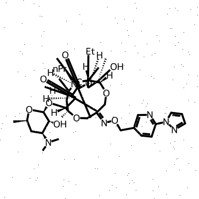 CCCN1C[C@H](C)[C@H]2OC/C(=N\OCc3ccc(-n4cccn4)nc3)CO[C@](C)(C[C@H]1C)[C@H](O[C@@H]1O[C@H](C)C[C@H](N(C)C)[C@H]1O)[C@@H](C)C(=O)[C@@H](C)C(=O)O[C@H](CC)[C@@]2(C)O